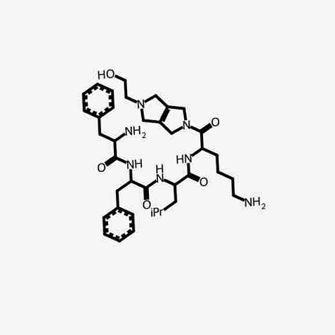 CC(C)CC(NC(=O)C(Cc1ccccc1)NC(=O)C(N)Cc1ccccc1)C(=O)NC(CCCCN)C(=O)N1CC2=C(CN(CCO)C2)C1